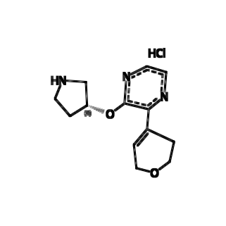 C1=C(c2nccnc2O[C@@H]2CCNC2)CCOC1.Cl